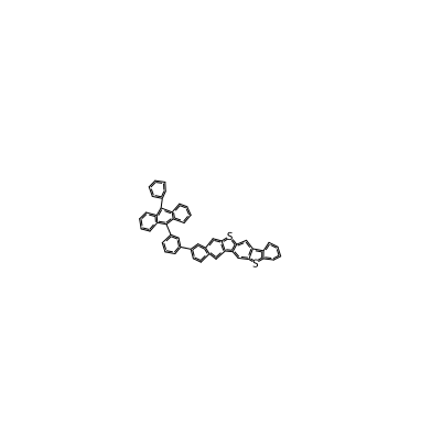 c1ccc(-c2c3ccccc3c(-c3cccc(-c4ccc5cc6c(cc5c4)sc4cc5c(cc46)sc4ccccc45)c3)c3ccccc23)cc1